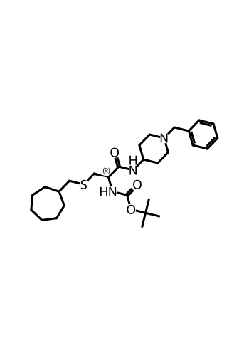 CC(C)(C)OC(=O)N[C@@H](CSCC1CCCCCC1)C(=O)NC1CCN(Cc2ccccc2)CC1